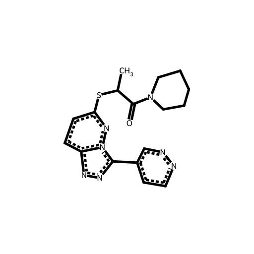 CC(Sc1ccc2nnc(-c3ccnnc3)n2n1)C(=O)N1CCCCC1